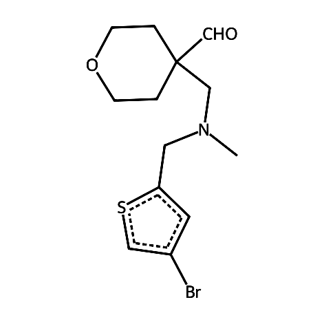 CN(Cc1cc(Br)cs1)CC1(C=O)CCOCC1